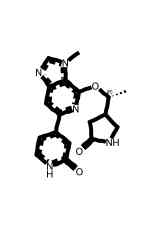 C[C@@H](Oc1nc(-c2cc[nH]c(=O)c2)cc2ncn(C)c12)C1CNC(=O)C1